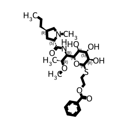 CCC[C@@H]1C[C@@H](C(=O)N[C@@H]([C@H]2O[C@H](SCCOC(=O)c3ccccc3)[C@H](O)[C@@H](O)[C@H]2O)[C@@H](C)OC)N(C)C1